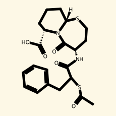 CC(=O)SC(Cc1ccccc1)C(=O)N[C@H]1CCS[C@H]2CCC[C@@H](C(=O)O)N2C1=O